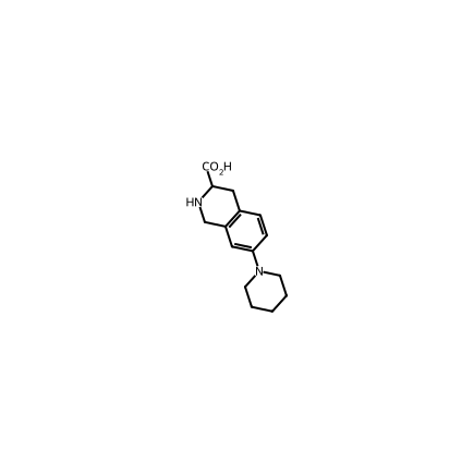 O=C(O)C1Cc2ccc(N3CCCCC3)cc2CN1